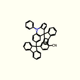 N#Cc1ccc(C2(c3ccc4c(c3)C3(c5ccccc5-c5ccccc53)c3ccccc3N4c3ccccc3)c3ccccc3-c3ccccc32)cc1